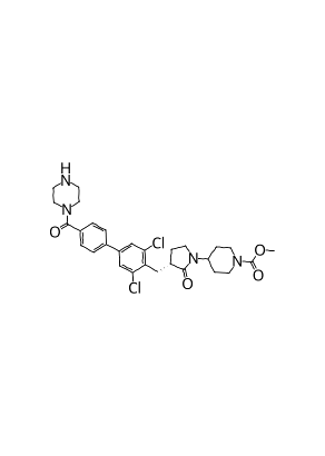 COC(=O)N1CCC(N2CC[C@@H](Cc3c(Cl)cc(-c4ccc(C(=O)N5CCNCC5)cc4)cc3Cl)C2=O)CC1